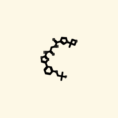 CC(C)(F)COc1cccc(-c2csc(NC(=O)CNC(=O)c3ccn(C4(C)COC4)c3)n2)c1